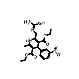 CCOC(=O)C1=C(C)NC(CN=C(N)[SeH])=C(C(=O)OCC)C1c1cccc([N+](=O)[O-])c1